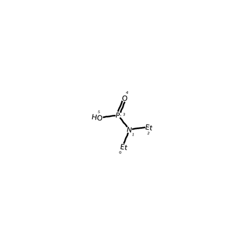 CCN(CC)[P](=O)O